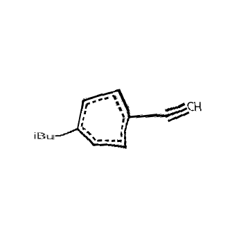 C#Cc1ccc(C(C)CC)cc1